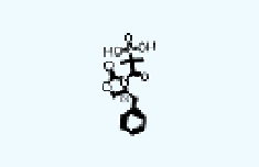 CC(C)(C(=O)N1C(=O)OC[C@@H]1Cc1ccccc1)P(=O)(O)O